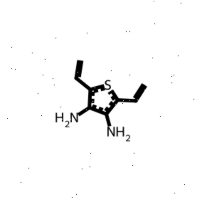 C=Cc1sc(C=C)c(N)c1N